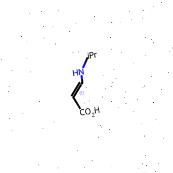 CC(C)N/C=C/C(=O)O